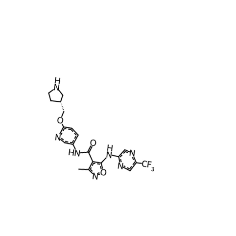 Cc1noc(Nc2cnc(C(F)(F)F)cn2)c1C(=O)Nc1ccc(OC[C@@H]2CCNC2)nc1